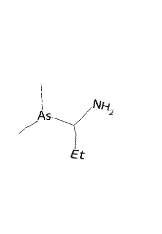 CCC(N)[As](C)C